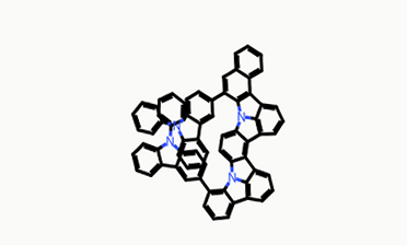 c1ccc(-n2c3ccccc3c3cc(-c4cccc5c6cccc7c8c9c%10cccc%11c%12c%13ccccc%13cc(-c%13ccc%14c(c%13)c%13ccccc%13n%14-c%13ccccc%13)c%12n(c9ccc8n(c45)c67)c%10%11)ccc32)cc1